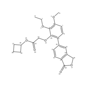 CCOc1c(OC)ccc(-c2ccc3c(c2)COC3=O)c1OCC(=O)OC1CCC1